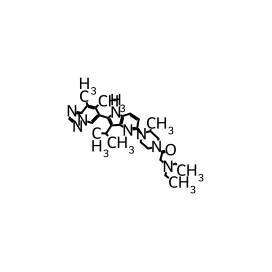 CCN(CC)CC(=O)N1CCN(c2ccc3[nH]c(-c4cn5ncnc5c(C)c4C)c(C(C)C)c3n2)[C@@H](C)C1